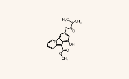 COC(=O)c1c2c(O)cc(OC(=O)N(C)C)cc2n2ccccc12